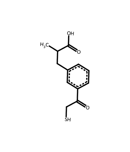 CC(Cc1cccc(C(=O)CS)c1)C(=O)O